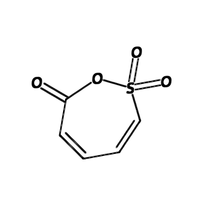 O=C1C=CC=CS(=O)(=O)O1